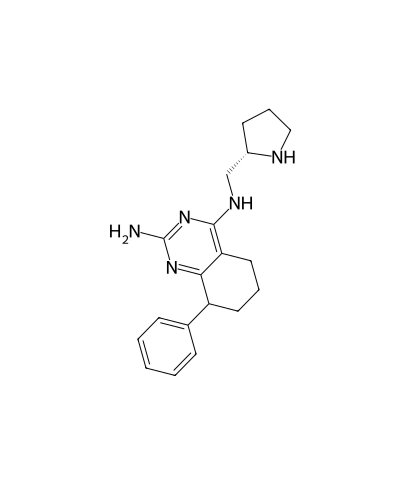 Nc1nc(NC[C@@H]2CCCN2)c2c(n1)C(c1ccccc1)CCC2